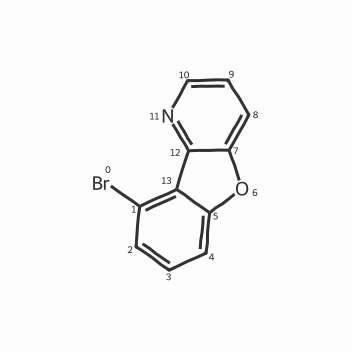 Brc1cccc2oc3cccnc3c12